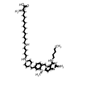 CCCCCNc1nc(N)nc2ccn(Cc3ccc(CN4CCN(NCCCCNCCCCCCCCCCCC[C@@H](N)C(=O)O)CC4)cc3OC)c12